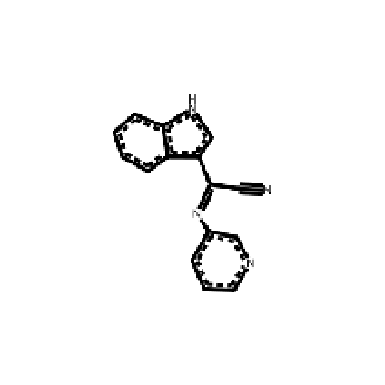 N#CC(=Nc1cccnc1)c1c[nH]c2ccccc12